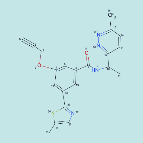 C#CCOc1cc(C(=O)NC(C)c2ccc(C(F)(F)F)nn2)cc(-c2ncc(C)s2)c1